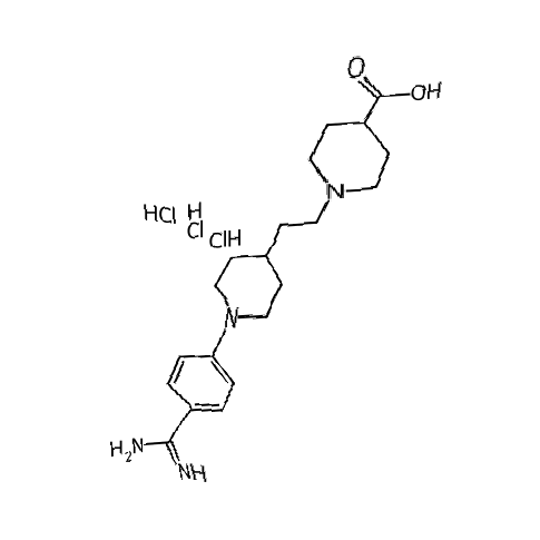 Cl.Cl.Cl.N=C(N)c1ccc(N2CCC(CCN3CCC(C(=O)O)CC3)CC2)cc1